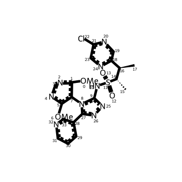 COc1ncnc(OC)c1-n1c(NS(=O)(=O)[C@@H](C)[C@H](C)c2cnc(Cl)cn2)nnc1-c1cccnc1